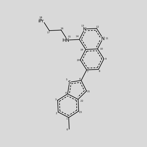 Cc1ccc2sc(-c3ccc4ncnc(NCCC(C)C)c4c3)cc2c1